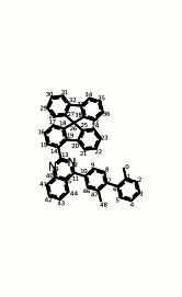 Cc1ccccc1-c1ccc(-c2nc(-c3cccc4c3-c3ccccc3C43c4ccccc4-c4ccccc43)nc3ccccc23)cc1C